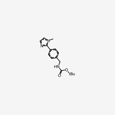 Cn1ccnc1-c1ccc(CNC(=O)OC(C)(C)C)cc1